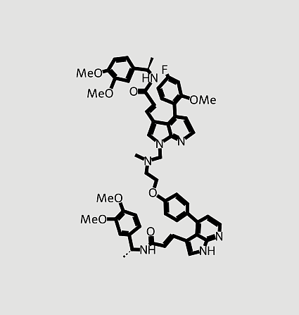 COc1ccc([C@@H](C)NC(=O)/C=C/c2c[nH]c3nccc(-c4ccc(OCCN(C)Cn5cc(/C=C/C(=O)N[C@H](C)c6ccc(OC)c(OC)c6)c6c(-c7ccc(F)cc7OC)ccnc65)cc4)c23)cc1OC